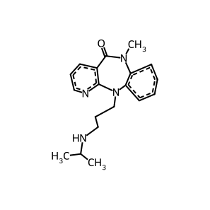 CC(C)NCCCN1c2ccccc2N(C)C(=O)c2cccnc21